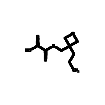 CCCC1(COC(=O)C(=O)O)COC1